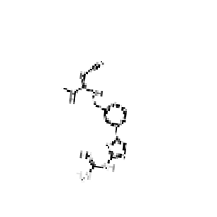 CN/C(=N/C#N)NCc1cccc(-c2csc(NC(=N)N)n2)c1